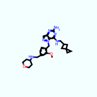 COc1cc(CNC2CCOCC2)ccc1Cn1ncc2nc(N)nc(NCC3CC4(CC4)C3)c21